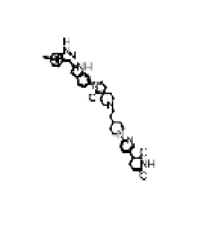 CC12Cc3[nH]nc(C4Cc5ccc(N6CCC7(CCN(CCC8CCN(c9ccc(C%10CCC(=O)NC%10=O)cn9)CC8)CC7)C6=O)cc5N4)c3C(C1)C2(F)F